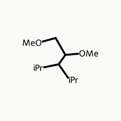 COCC(OC)C(C(C)C)C(C)C